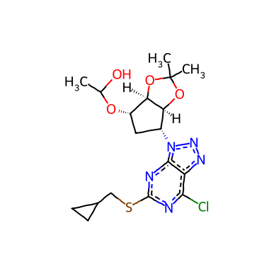 CC(O)O[C@H]1C[C@@H](n2nnc3c(Cl)nc(SCC4CC4)nc32)[C@@H]2OC(C)(C)O[C@@H]21